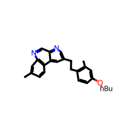 CCCCOc1ccc(CCc2cnc3cnc4cc(C)ccc4c3c2)c(C)c1